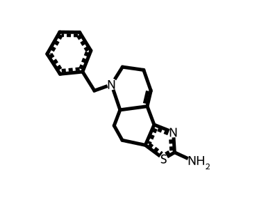 Nc1nc2c(s1)CCC1C2=CCCN1Cc1ccccc1